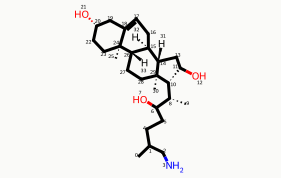 CC(CN)CCC(O)[C@@H](C)[C@H]1C(O)C[C@H]2[C@@H]3CC=C4C[C@@H](O)CC[C@]4(C)[C@H]3CC[C@]12C